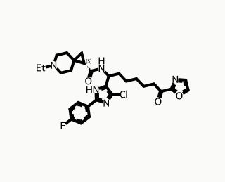 CCN1CCC2(CC1)C[C@@H]2C(=O)NC(CCCCCC(=O)c1ncco1)c1[nH]c(-c2ccc(F)cc2)nc1Cl